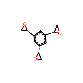 c1c([C@@H]2CO2)cc([C@H]2CO2)cc1[C@H]1CO1